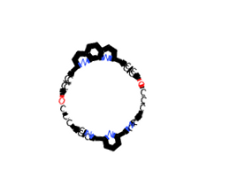 c1cc2nc(c1)-c1ccc(cn1)CCCOc1ccc(cc1)-c1ccc3ccc4ccc(nc4c3n1)-c1ccc(cc1)OCCCc1ccc-2nc1